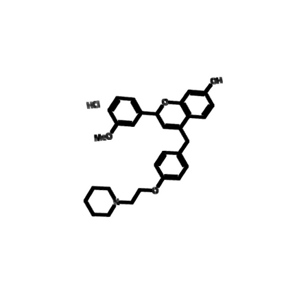 COc1cccc(C2C=C(Cc3ccc(OCCN4CCCCC4)cc3)c3ccc(O)cc3O2)c1.Cl